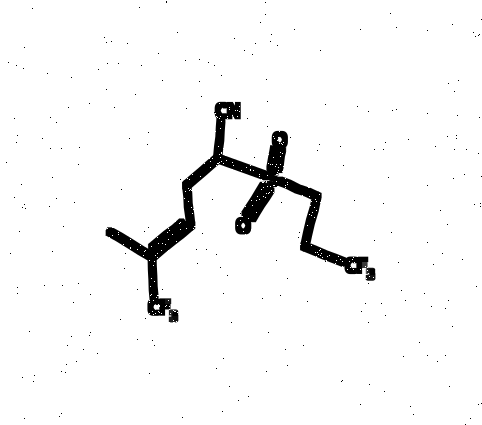 C/C(=C\CC(C#N)S(=O)(=O)CCC(F)(F)F)C(F)(F)F